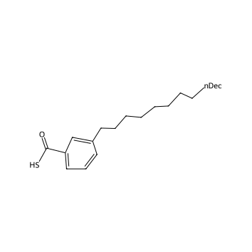 CCCCCCCCCCCCCCCCCCc1cccc(C(=O)S)c1